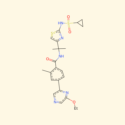 CCOc1cncc(-c2ccc(C(=O)NC(C)(C)c3csc(NS(=O)(=O)C4CC4)n3)c(C)c2)n1